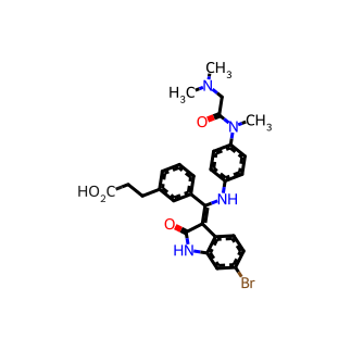 CN(C)CC(=O)N(C)c1ccc(NC(=C2C(=O)Nc3cc(Br)ccc32)c2cccc(CCC(=O)O)c2)cc1